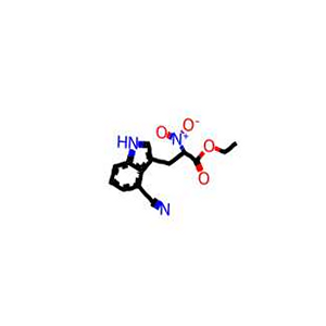 CCOC(=O)C(Cc1c[nH]c2cccc(C#N)c12)[N+](=O)[O-]